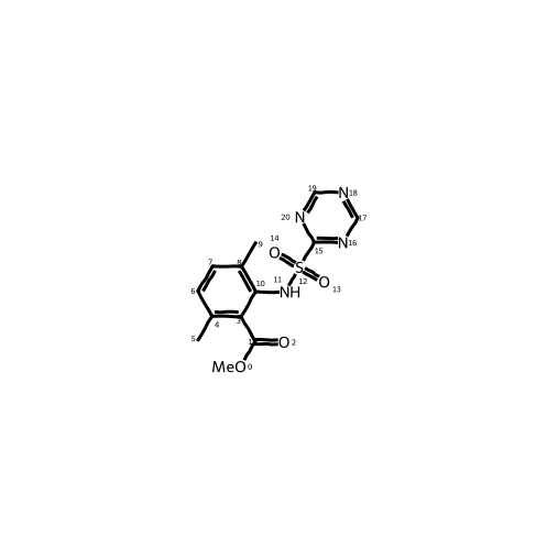 COC(=O)c1c(C)ccc(C)c1NS(=O)(=O)c1ncncn1